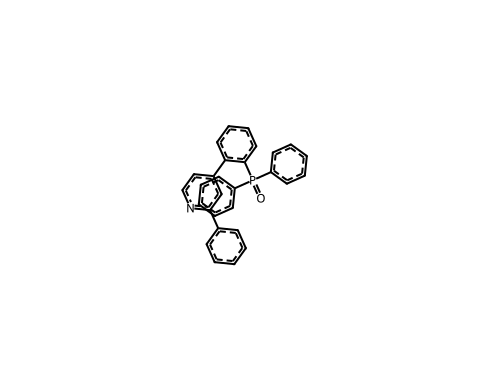 O=P(c1ccccc1)(c1ccccc1)c1ccccc1-c1ccnc(-c2ccccc2)c1